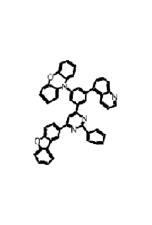 c1ccc(-c2nc(-c3cc(-c4cccc5ncccc45)cc(N4c5ccccc5Oc5ccccc54)c3)cc(-c3ccc4oc5ccccc5c4c3)n2)cc1